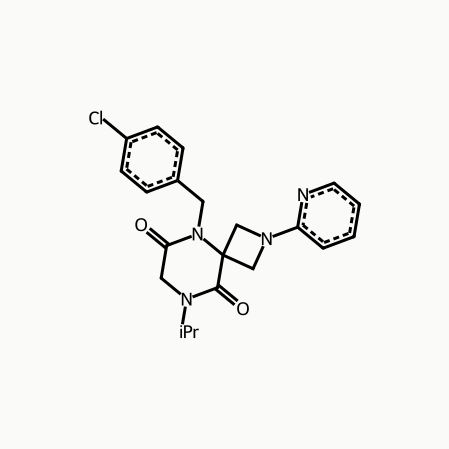 CC(C)N1CC(=O)N(Cc2ccc(Cl)cc2)C2(CN(c3ccccn3)C2)C1=O